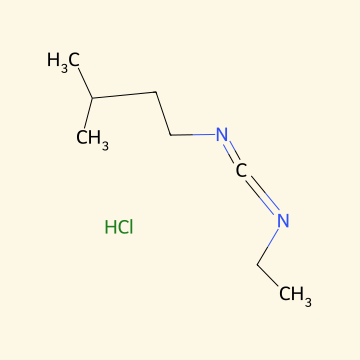 CCN=C=NCCC(C)C.Cl